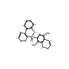 O=P1(c2cc(O)c3c(c2O)CCC=C3)Oc2ccccc2C2=C1CCC=C2